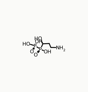 NCCC(O)P(=O)(O)P(=O)(O)O